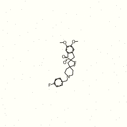 COc1cc2c(cc1OC)S(=O)(=O)C(F)(CC1(F)CCN(Cc3ccc(F)cc3)CC1)C2